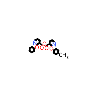 Cc1ccc(Oc2ncccc2C(=O)OC(=O)c2cccnc2Oc2ccccc2)cc1